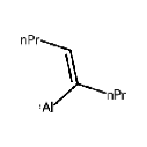 CCCC=[C]([Al])CCC